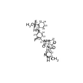 C=C1C=C(C(=O)N[C@@]2(C(=O)NCc3ccc(NC4=C(C(C)(F)F)CCC=C4)cc3F)CCOC2)C=NN1